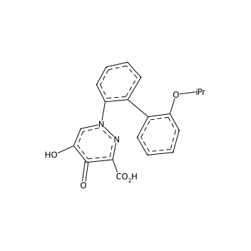 CC(C)Oc1ccccc1-c1ccccc1-n1cc(O)c(=O)c(C(=O)O)n1